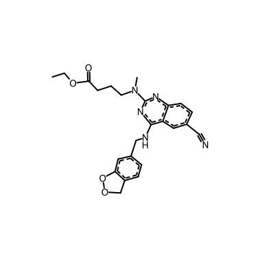 CCOC(=O)CCCN(C)c1nc(NCc2ccc3c(c2)OOC3)c2cc(C#N)ccc2n1